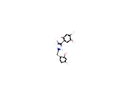 Cc1[nH]c(Cc2ccc(Br)cc2Br)nc1-c1cc(Br)c(Br)cc1Br